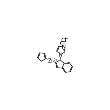 C1=CC[C]([Zr+2][C]2=Cc3ccccc3C2n2ccnc2)=C1.[Cl-].[Cl-]